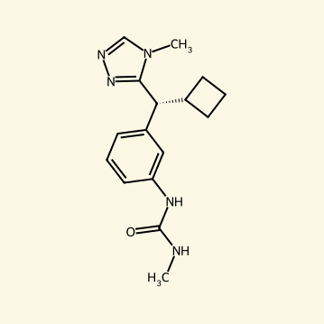 CNC(=O)Nc1cccc([C@H](c2nncn2C)C2CCC2)c1